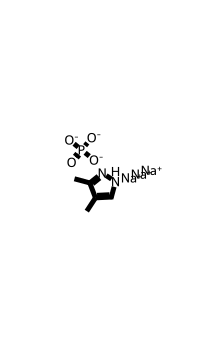 Cc1c[nH]nc1C.O=P([O-])([O-])[O-].[Na+].[Na+].[Na+]